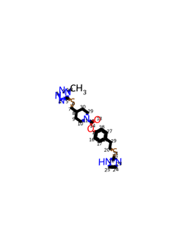 Cn1nnnc1SCC1CCN(C(=O)Oc2ccc(CCSc3ncc[nH]3)cc2)CC1